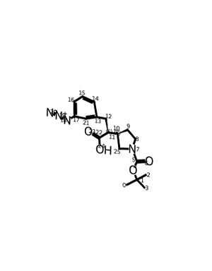 CC(C)(C)OC(=O)N1CC[C@H]([C@H](Cc2cccc(N=[N+]=[N-])c2)C(=O)O)C1